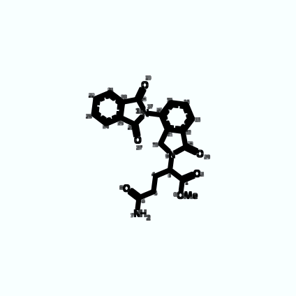 COC(=O)C(CCC(N)=O)N1Cc2c(cccc2[15N]2C(=O)c3ccccc3C2=O)C1=O